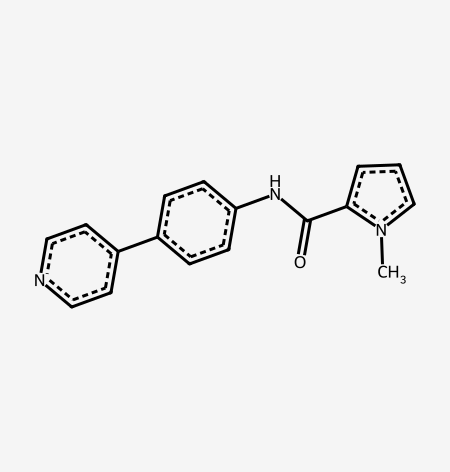 Cn1cccc1C(=O)Nc1ccc(-c2ccncc2)cc1